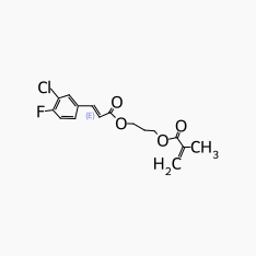 C=C(C)C(=O)OCCCOC(=O)/C=C/c1ccc(F)c(Cl)c1